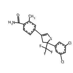 Cc1cc(C2=CSC(c3cc(Cl)cc(Cl)c3)(C(F)(F)F)C2)ccc1C(N)=O